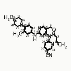 C=CCN1OCc2cnc(Nc3ccc(N4CCN(C)CC4)c(C)c3)nc2N1c1ccc(C#N)cn1